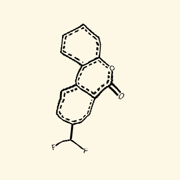 O=c1oc2ccccc2c2ccc(C(F)F)cc12